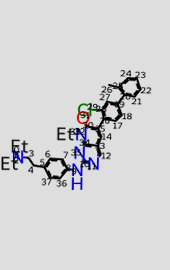 CCN(CC)CCc1ccc(Nc2ncc3cc(-c4ccc(-c5ccccc5C)cc4Cl)c(=O)n(CC)c3n2)cc1